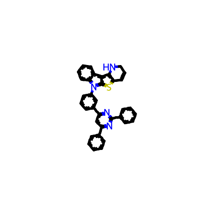 C1=Cc2sc3c(c2NC1)c1ccccc1n3-c1cccc(-c2cc(-c3ccccc3)nc(-c3ccccc3)n2)c1